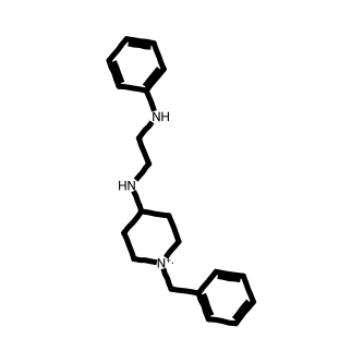 c1ccc(C[N+]2CCC(NCCNc3ccccc3)CC2)cc1